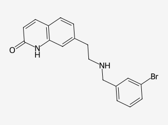 O=c1ccc2ccc(CCNCc3cccc(Br)c3)cc2[nH]1